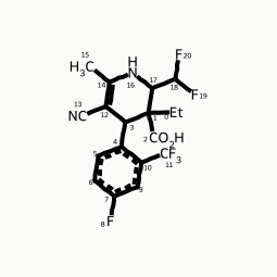 CCC1(C(=O)O)C(c2ccc(F)cc2C(F)(F)F)C(C#N)=C(C)NC1C(F)F